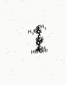 COc1ccc(CCCOc2ccc(CCC(N)(CO)CO)cc2C(F)(F)F)cc1C